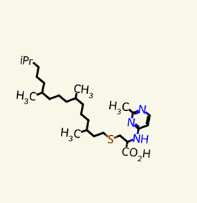 Cc1nccc(NC(CSCCC(C)CCCC(C)CCCC(C)CCCC(C)C)C(=O)O)n1